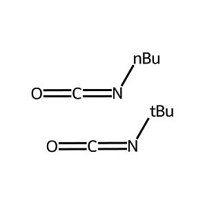 CC(C)(C)N=C=O.CCCCN=C=O